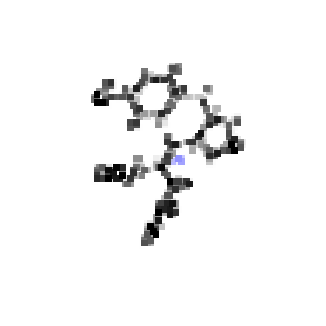 CCOC(=O)/C(=C/c1cscc1Cc1ccc(Cl)cc1)N=[N+]=[N-]